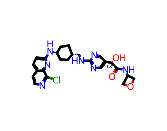 O=C(NC1COC1)[C@@H](O)c1cnc(NC[C@H]2CC[C@H](Nc3ccc4ccnc(Cl)c4n3)CC2)nc1